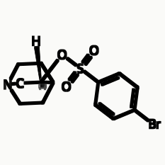 O=S(=O)(O[C@H]1CN2CCC1CC2)c1ccc(Br)cc1